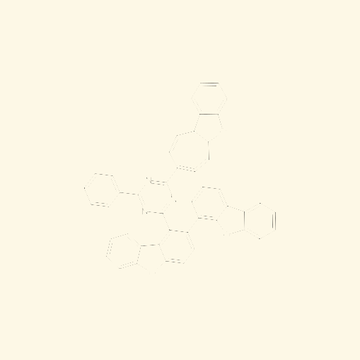 C1=CC2Oc3ccccc3C2C=CC=1c1nc(-c2ccccc2)nc(-c2c(-c3cccc4c3oc3ccccc34)ccc3oc4ccccc4c23)n1